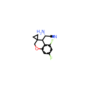 N#C[C@@H](N)C1c2c(F)cc(F)cc2OCC12CC2